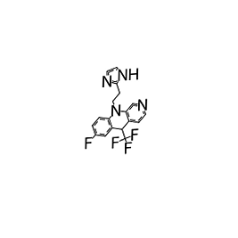 Fc1ccc2c(c1)C(C(F)(F)F)c1ccncc1N2CCc1ncc[nH]1